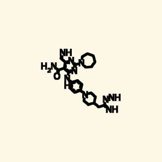 N=Cc1nc(N2CCCCCC2)nc(Nc2ccc(N3CCC(CC(=N)N=N)CC3)cc2)c1C(N)=O